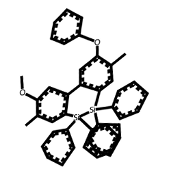 COc1cc2c(cc1C)[Si](c1ccccc1)(c1ccccc1)[Si](c1ccccc1)(c1ccccc1)c1cc(C)c(Oc3ccccc3)cc1-2